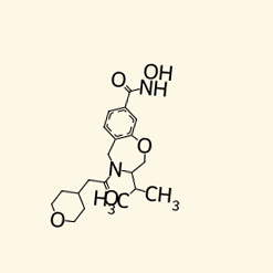 CC(C)C1COc2cc(C(=O)NO)ccc2CN1C(=O)CC1CCOCC1